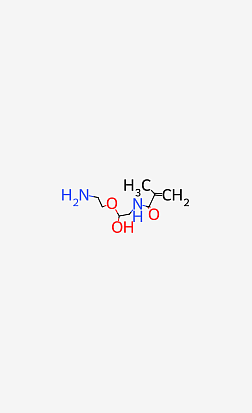 C=C(C)C(=O)NCC(O)OCCN